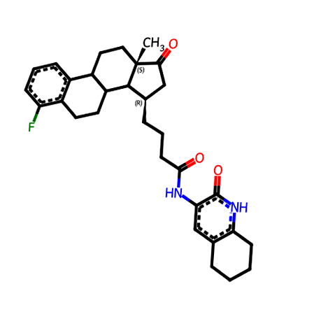 C[C@]12CCC3c4cccc(F)c4CCC3C1[C@H](CCCC(=O)Nc1cc3c([nH]c1=O)CCCC3)CC2=O